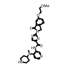 COCCOc1ccc2c(c1)C(=O)N(c1nc(C(=O)Nc3cnccc3N(C)C3CCNCC3)cs1)C2